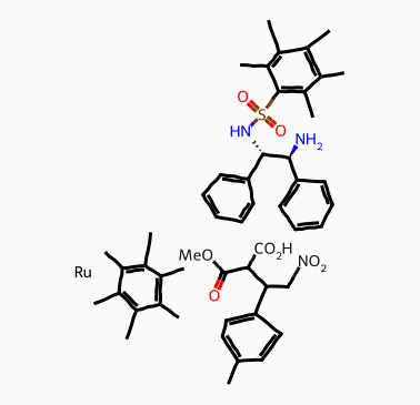 COC(=O)C(C(=O)O)C(C[N+](=O)[O-])c1ccc(C)cc1.Cc1c(C)c(C)c(C)c(C)c1C.Cc1c(C)c(C)c(S(=O)(=O)N[C@@H](c2ccccc2)[C@@H](N)c2ccccc2)c(C)c1C.[Ru]